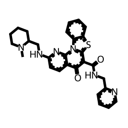 CN1CCCCC1CNc1ccc2c(=O)c(C(=O)NCc3ccccn3)c3sc4ccccc4n3c2n1